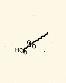 CCCCCCCCCCCC(=O)C(=O)CCCCC(=O)O